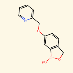 OB1OCc2ccc(OCc3ccccn3)cc21